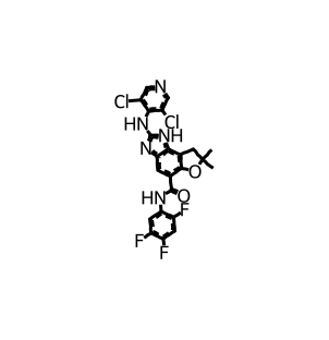 CC1(C)Cc2c(c(C(=O)Nc3cc(F)c(F)cc3F)cc3nc(Nc4c(Cl)cncc4Cl)[nH]c23)O1